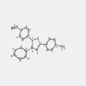 COc1ccc(C2CC(c3ccc(C)cc3)=NN2c2ccccc2)cc1